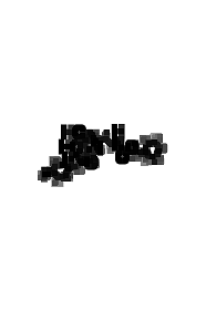 O=C(NCCc1nc(O)c(O)c(C(=O)NCc2ccc(F)cc2)n1)OCc1ccccc1